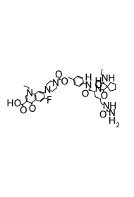 CCNC(=O)C1(C(=O)NC(CCCNC(N)=O)C(=O)Nc2ccc(COC(=O)N3CCN(c4cc5c(cc4F)c(=O)c(C(=O)O)cn5CC)CC3)cc2)CCCC1